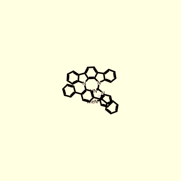 CN/C(=N\C(=N)n1c2ccccc2c2ccc3c4ccccc4n(-c4cc(-c5ccccc5)ccc4-c4ccccc4)c3c21)c1ccccc1